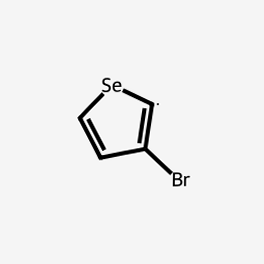 Brc1[c][se]cc1